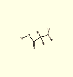 [2H]OC(=O)C([2H])([2H])N([2H])[2H]